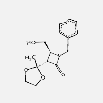 CC1([C@H]2C(=O)N(Cc3ccccc3)[C@@H]2CO)OCCO1